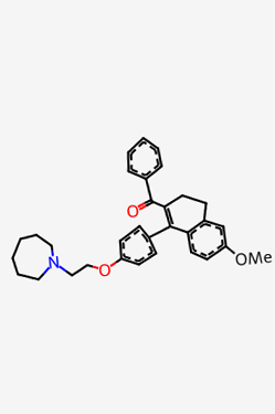 COc1ccc2c(c1)CCC(C(=O)c1ccccc1)=C2c1ccc(OCCN2CCCCCC2)cc1